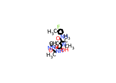 Cc1noc([C@H](C)NC(=O)C(O)c2c(C)c(C(=O)Nc3ccc(F)c(C)c3)c(C)n2C)n1